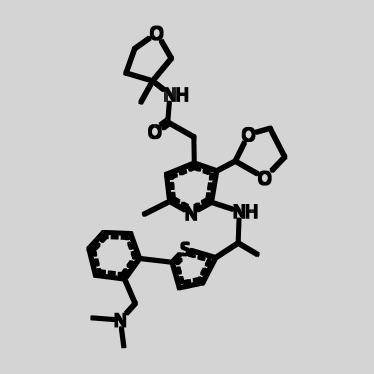 Cc1cc(CC(=O)NC2(C)CCOC2)c(C2OCCO2)c(NC(C)c2ccc(-c3ccccc3CN(C)C)s2)n1